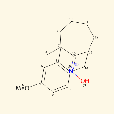 COc1ccc2c(c1)C1(C)CCCCC(C2)/C1=N\O